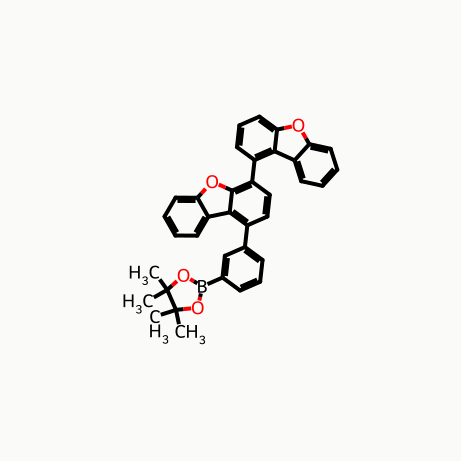 CC1(C)OB(c2cccc(-c3ccc(-c4cccc5oc6ccccc6c45)c4oc5ccccc5c34)c2)OC1(C)C